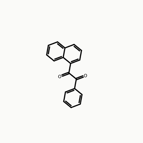 O=C(C(=O)c1cccc2ccccc12)c1ccccc1